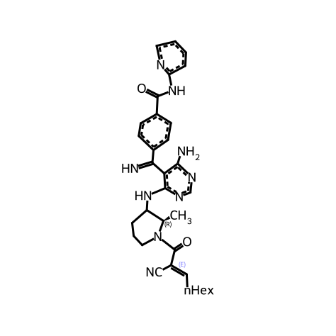 CCCCCC/C=C(\C#N)C(=O)N1CCCC(Nc2ncnc(N)c2C(=N)c2ccc(C(=O)Nc3ccccn3)cc2)[C@H]1C